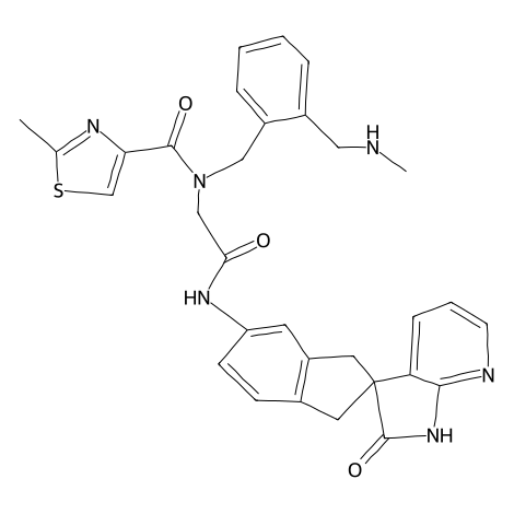 CNCc1ccccc1CN(CC(=O)Nc1ccc2c(c1)CC1(C2)C(=O)Nc2ncccc21)C(=O)c1csc(C)n1